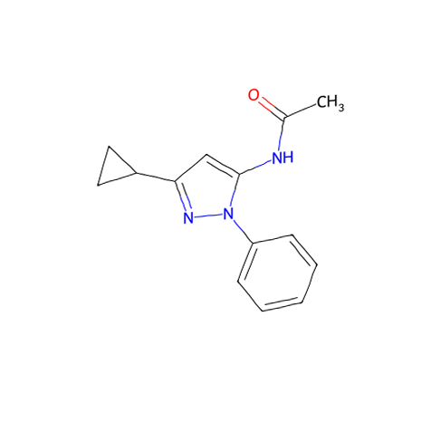 CC(=O)Nc1cc(C2CC2)nn1-c1ccccc1